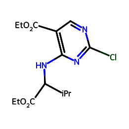 CCOC(=O)c1cnc(Cl)nc1NC(C(=O)OCC)C(C)C